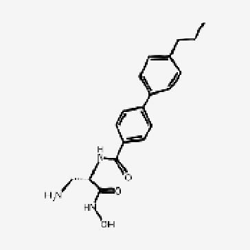 CCCc1ccc(-c2ccc(C(=O)N[C@@H](CN)C(=O)NO)cc2)cc1